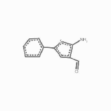 Nc1sc(-c2ccccc2)cc1C=O